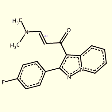 CN(C)/C=C/C(=O)c1c(-c2ccc(F)cc2)nn2ccccc12